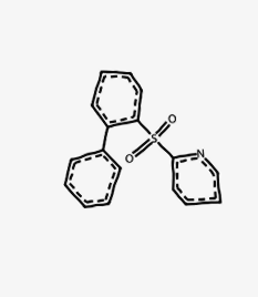 O=S(=O)(c1ccccn1)c1ccccc1-c1ccccc1